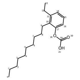 CCCCCCCCCCc1c(CC)cccc1OC(=O)O